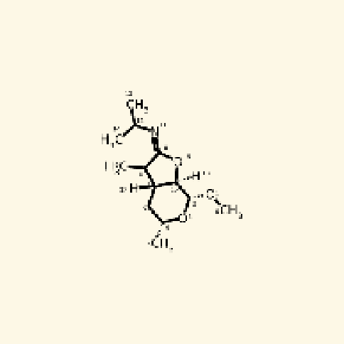 CO[C@@H]1O[C@H](C)C[C@@H]2C(C)/C(=N\C(C)C)O[C@@H]12